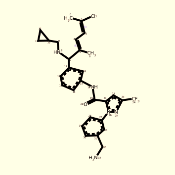 C/C(Cl)=C\C=C(/C)C(NCC1CC1)c1cccc(NC(=O)c2cc(C(F)(F)F)nn2-c2cccc(CN)c2)c1